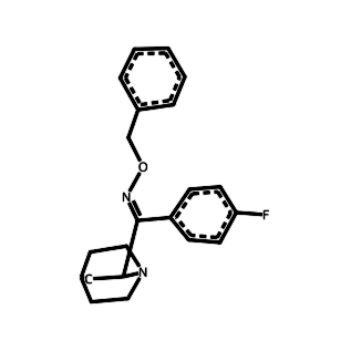 Fc1ccc(C(=NOCc2ccccc2)C2CC3CCN2CC3)cc1